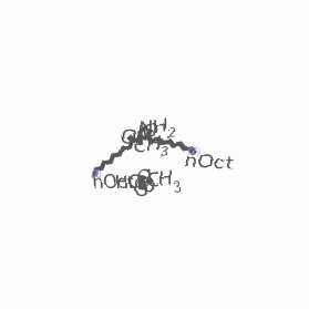 CCCCCCCC/C=C\CCCCCCCC(=O)C(C)(CN)C(=O)CCCCCCC/C=C\CCCCCCCC.COS(=O)(=O)O